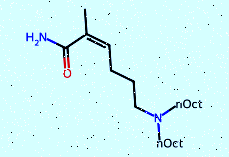 CCCCCCCCN(CCCC=C(C)C(N)=O)CCCCCCCC